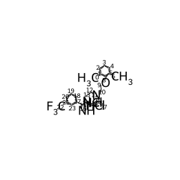 Cc1cccc(C)c1OCCN1CCN(C(=N)c2cccc(C(F)(F)F)c2)CC1.Cl.Cl